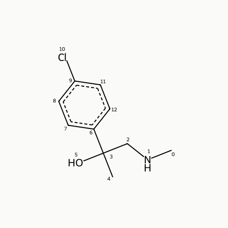 CNCC(C)(O)c1ccc(Cl)cc1